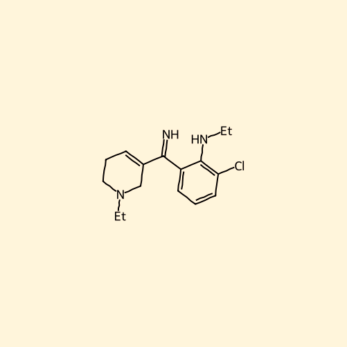 CCNc1c(Cl)cccc1C(=N)C1=CCCN(CC)C1